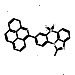 Cc1nc2cccc3c2n1-c1ccc(C2=C4C=CC=C5C=CC6=C(C(=C2)CC=C6)C54)cc1S3(=O)=O